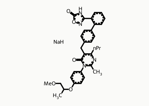 CCCc1nc(C)n(-c2ccc(OC(C)COC)cc2)c(=O)c1Cc1ccc(-c2ccccc2-c2noc(=O)[nH]2)cc1.[NaH]